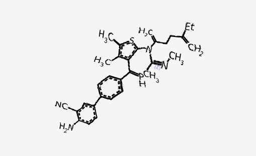 C=C(CC)CCC(=C)N(/C(C)=N\C)c1sc(C)c(C)c1C(=P)c1ccc(-c2ccc(N)c(C#N)c2)cc1